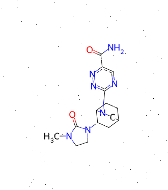 CN1CCN(C2CC3CCC2N(c2ncc(C(N)=O)nn2)C3)C1=O